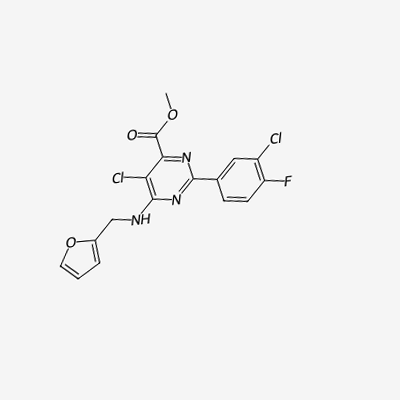 COC(=O)c1nc(-c2ccc(F)c(Cl)c2)nc(NCc2ccco2)c1Cl